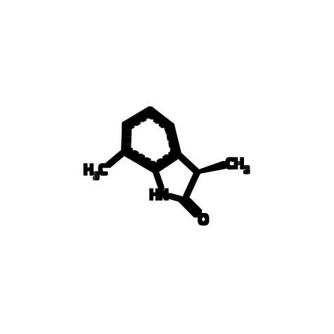 Cc1cccc2c1NC(=O)[C@@H]2C